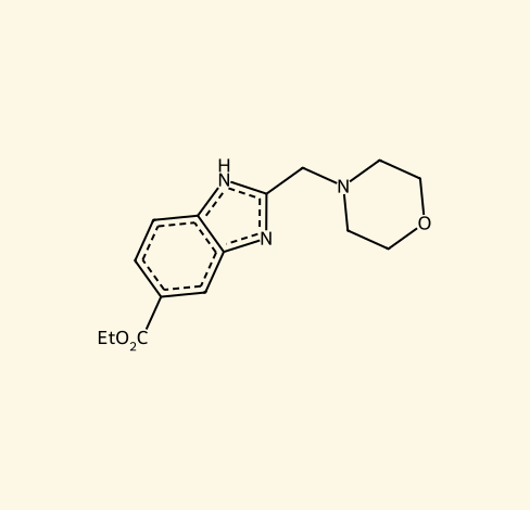 CCOC(=O)c1ccc2[nH]c(CN3CCOCC3)nc2c1